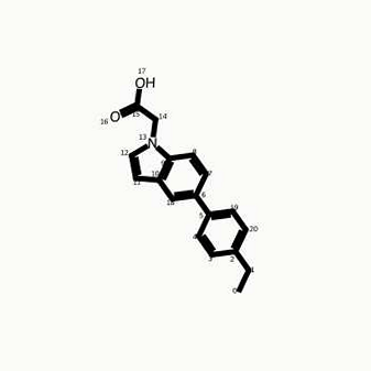 CCc1ccc(-c2ccc3c(ccn3CC(=O)O)c2)cc1